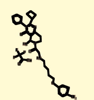 O=C(CNCCCCCOc1ccc(C(F)(F)F)cc1)N1CCc2nc(C3CCC3)n(-c3ccccc3)c(=O)c2C1S.O=C(O)C(F)(F)F